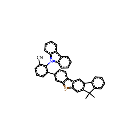 CC1(C)c2ccccc2-c2cc3c(cc21)sc1cc(-c2cccc(C#N)c2-n2c4ccccc4c4ccccc42)ccc13